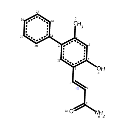 Cc1cc(O)c(/C=C/C(N)=O)cc1-c1ccccc1